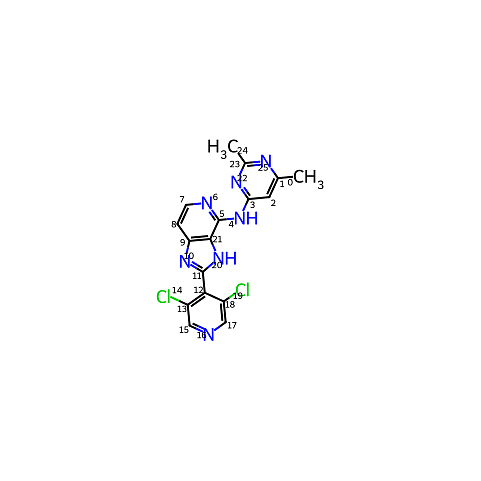 Cc1cc(Nc2nccc3nc(-c4c(Cl)cncc4Cl)[nH]c23)nc(C)n1